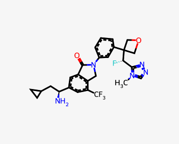 Cn1cnnc1[C@H](F)C1(c2cccc(N3Cc4c(cc([C@@H](N)CC5CC5)cc4C(F)(F)F)C3=O)c2)COC1